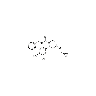 N#Cc1ccc(C2CC(OCC3CC3)CCN2C(=O)OCc2ccccc2)cc1Cl